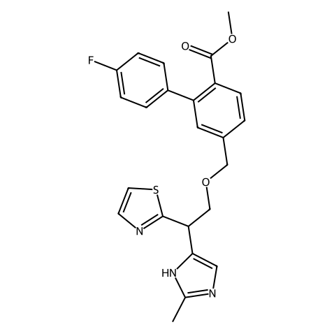 COC(=O)c1ccc(COCC(c2cnc(C)[nH]2)c2nccs2)cc1-c1ccc(F)cc1